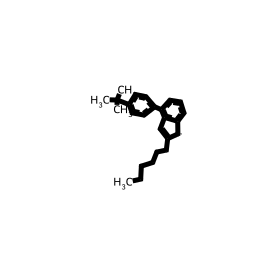 CCCCCCC1=Cc2c(cccc2-c2ccc(C(C)(C)C)cc2)[CH]1